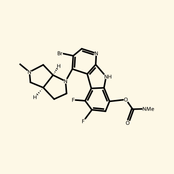 CNC(=O)Oc1cc(F)c(F)c2c1[nH]c1ncc(Br)c(N3CC[C@H]4CN(C)C[C@H]43)c12